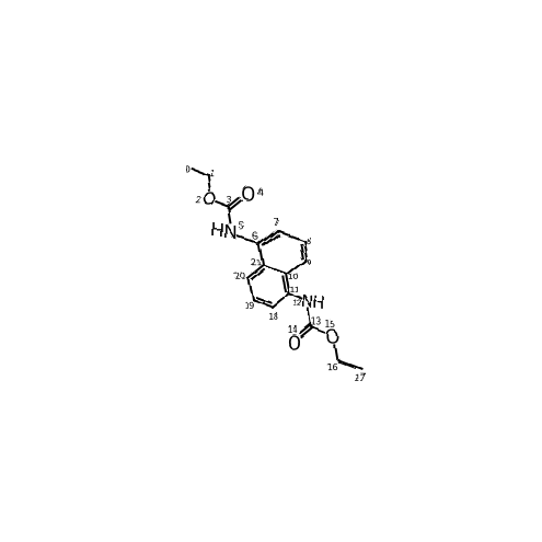 CCOC(=O)Nc1cccc2c(NC(=O)OCC)cccc12